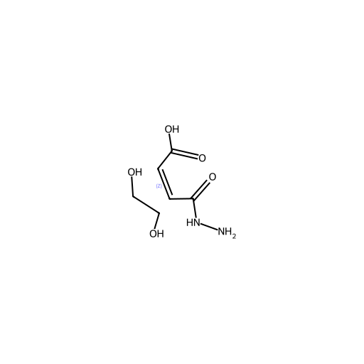 NNC(=O)/C=C\C(=O)O.OCCO